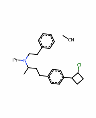 CC#N.CC(C)N(CCc1ccccc1)C(C)CCc1ccc(C2CCC2Cl)cc1